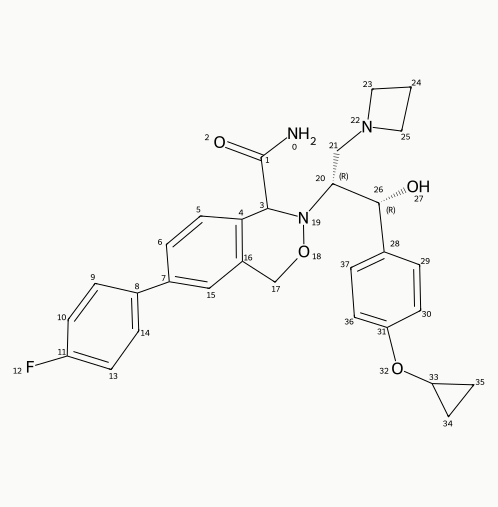 NC(=O)C1c2ccc(-c3ccc(F)cc3)cc2CON1[C@H](CN1CCC1)[C@H](O)c1ccc(OC2CC2)cc1